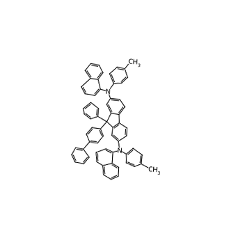 Cc1ccc(N(c2ccc3c(c2)C(c2ccccc2)(c2ccc(-c4ccccc4)cc2)c2cc(N(c4ccc(C)cc4)c4cccc5ccccc45)ccc2-3)c2cccc3ccccc23)cc1